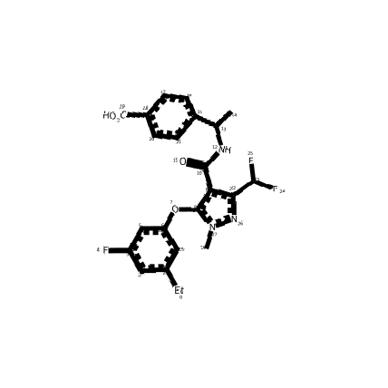 CCc1cc(F)cc(Oc2c(C(=O)NC(C)c3ccc(C(=O)O)cc3)c(C(F)F)nn2C)c1